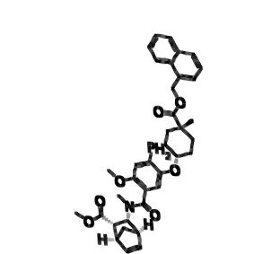 COC(=O)[C@@H]1[C@H](N(C)C(=O)c2cc(O[C@H]3CC[C@@](C)(C(=O)OCc4cccc5ccccc45)CC3)c(P)cc2OC)[C@H]2C=C[C@@H]1C2